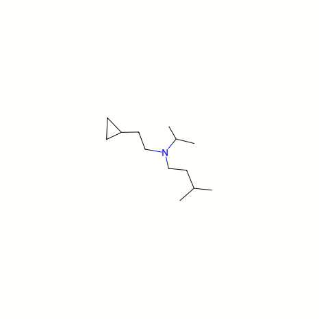 CC(C)CCN(CCC1CC1)C(C)C